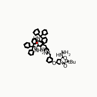 CC(C)(C)OC(=O)N1C[C@H](Oc2cccc(Cn3cc(Cc4cc(NC(c5ccccc5)(c5ccccc5)c5ccccc5)nc(N(N)C(c5ccccc5)(c5ccccc5)c5ccccc5)c4N)cn3)c2)C[C@H]1C(=O)NN